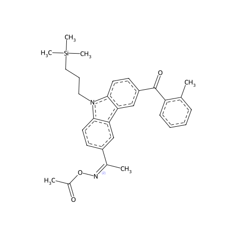 CC(=O)O/N=C(/C)c1ccc2c(c1)c1cc(C(=O)c3ccccc3C)ccc1n2CCC[Si](C)(C)C